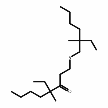 CCCCC(C)(CC)CSCCC(=O)C(C)(CC)CCCC